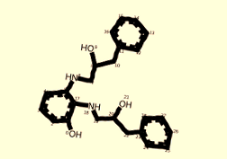 Oc1cccc(NCC(O)Cc2ccccc2)c1NCC(O)Cc1ccccc1